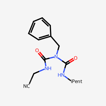 CCCC(C)NC(=O)N(Cc1ccccc1)C(=O)NCC#N